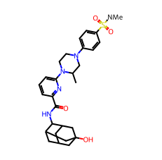 CNS(=O)(=O)c1ccc(N2CCN(c3cccc(C(=O)NC4C5CC6CC4CC(O)(C6)C5)n3)C(C)C2)cc1